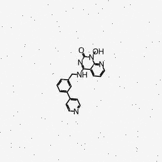 O=c1nc(NCc2cccc(-c3ccncc3)c2)c2cccnc2n1O